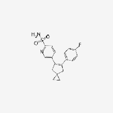 NS(=O)(=O)c1ccc(C2=C(c3ccc(F)cc3)CC3(CC3)C2)cn1